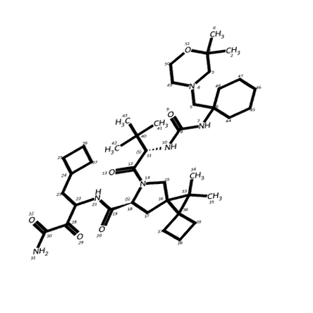 CC1(C)CN(CC2(NC(=O)N[C@H](C(=O)N3CC4(C[C@H]3C(=O)NC(CC3CCC3)C(=O)C(N)=O)C(C)(C)C43CCC3)C(C)(C)C)CCCCC2)CCO1